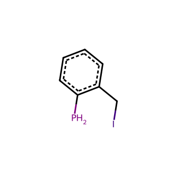 Pc1ccccc1CI